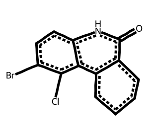 O=c1[nH]c2ccc(Br)c(Cl)c2c2ccccc12